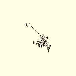 CCCCCCCCCCCCCCCC(=O)N[C@@H](C)C(=O)Oc1c2n(cc(C(=O)NCc3ccc(F)cc3F)c1=O)C[C@H]1OC[C@H](C)N1C2=O